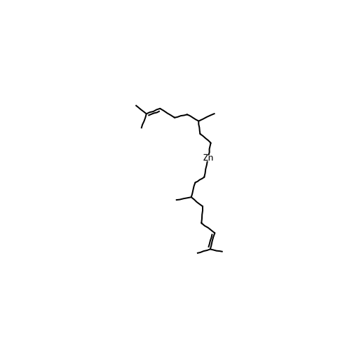 CC(C)=CCCC(C)C[CH2][Zn][CH2]CC(C)CCC=C(C)C